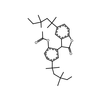 CCC(C)(C)CC(C)(C)c1ccc(OC(C)=O)c(C2C(=O)Oc3ccc(C(C)(C)CC(C)(C)CC)cc32)c1